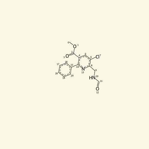 COC(=O)c1cc(Cl)c(CNC=O)nc1-c1ccccc1